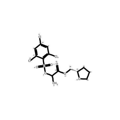 CC(OS(=O)(=O)c1c(Cl)cc(Cl)cc1Cl)C(=O)OC[C@@H]1CCCO1